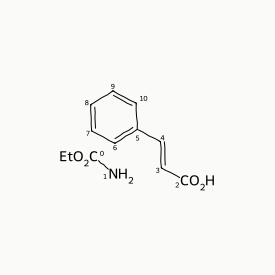 CCOC(N)=O.O=C(O)C=Cc1ccccc1